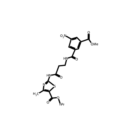 CCCOC(=O)c1sc(NC(=O)CCNC(=O)c2cc(C(=O)OC)cc([N+](=O)[O-])c2)nc1C